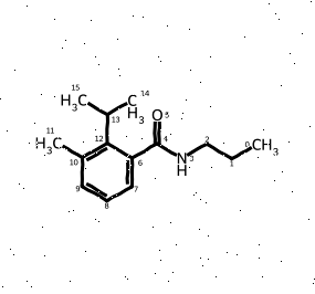 CCCNC(=O)c1cccc(C)c1C(C)C